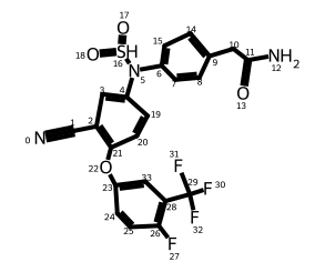 N#Cc1cc(N(c2ccc(CC(N)=O)cc2)[SH](=O)=O)ccc1Oc1ccc(F)c(C(F)(F)F)c1